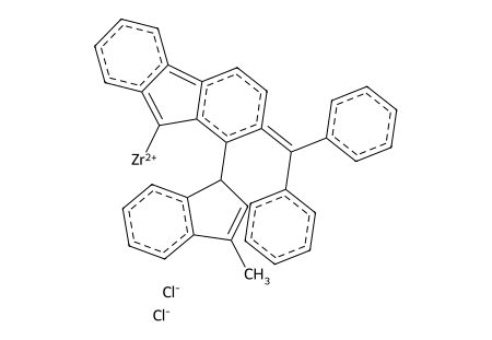 CC1=CC(c2c3c(ccc2=C(c2ccccc2)c2ccccc2)=c2ccccc2=[C]3[Zr+2])c2ccccc21.[Cl-].[Cl-]